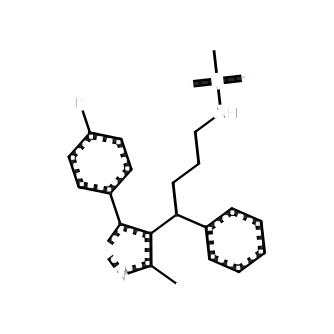 Cc1noc(-c2ccc(Br)cc2)c1C(CCCNS(C)(=O)=O)c1ccccc1